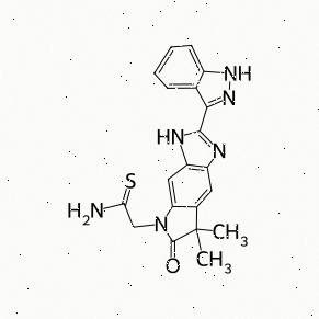 CC1(C)C(=O)N(CC(N)=S)c2cc3[nH]c(-c4n[nH]c5ccccc45)nc3cc21